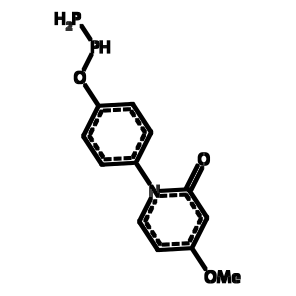 COc1ccn(-c2ccc(OPP)cc2)c(=O)c1